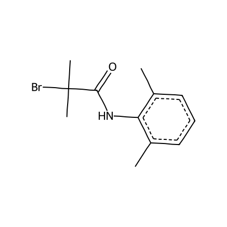 Cc1cccc(C)c1NC(=O)C(C)(C)Br